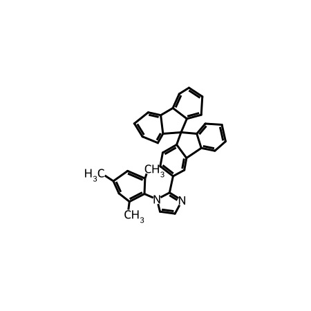 Cc1cc(C)c(-n2ccnc2-c2ccc3c(c2)-c2ccccc2C32c3ccccc3-c3ccccc32)c(C)c1